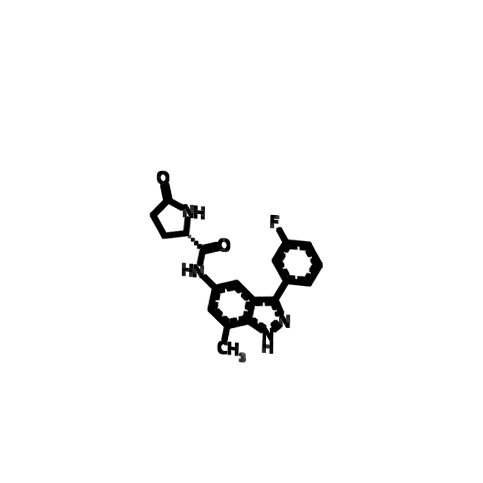 Cc1cc(NC(=O)[C@@H]2CCC(=O)N2)cc2c(-c3cccc(F)c3)n[nH]c12